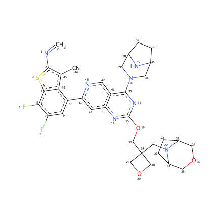 C=Nc1sc2c(F)c(F)cc(-c3cc4nc(OCC5(CN6C7CCC6COC7)COC5)nc(N5CC6CCC(C5)N6)c4cn3)c2c1C#N